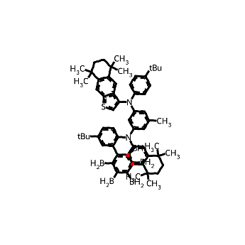 Bc1c(B)c(B)c(-c2cc(C(C)(C)C)ccc2N(c2cc(C)cc(N(c3ccc(C(C)(C)C)cc3)c3csc4cc5c(cc34)C(C)(C)CCC5(C)C)c2)c2ccc3c(c2)C(C)(C)CCC3(C)C)c(B)c1B